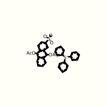 CC(=O)Oc1c2ccccc2c(OC(C)=O)c2cc(S(=O)(=O)[O-])ccc12.c1ccc([S+](c2ccccc2)c2ccccc2)cc1